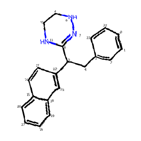 c1ccc(CC(C2=NNCCN2)c2ccc3ccccc3c2)cc1